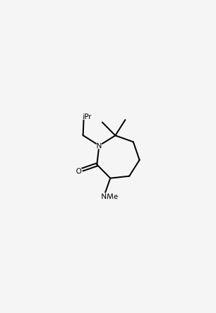 CNC1CCCC(C)(C)N(CC(C)C)C1=O